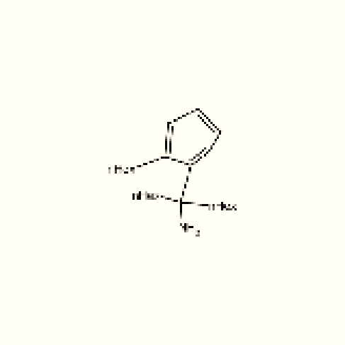 CCCCCCc1ccccc1C(N)(CCCCCC)CCCCCC